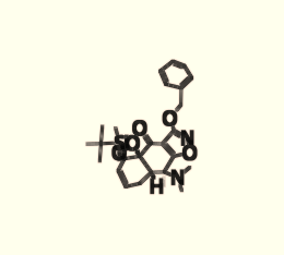 CN(C)[C@]1(C)c2onc(OCc3ccccc3)c2C(=O)[C@@]2(O[Si](C)(C)C(C)(C)C)C(=O)C=CC[C@H]21